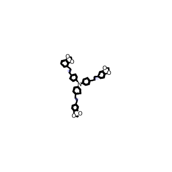 C(=C\c1ccc2c(c1)OCO2)/c1ccc(N(c2ccc(/C=C/c3ccc4c(c3)OCO4)cc2)c2ccc(/C=C/c3cccc4c3OCO4)cc2)cc1